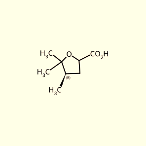 C[C@@H]1CC(C(=O)O)OC1(C)C